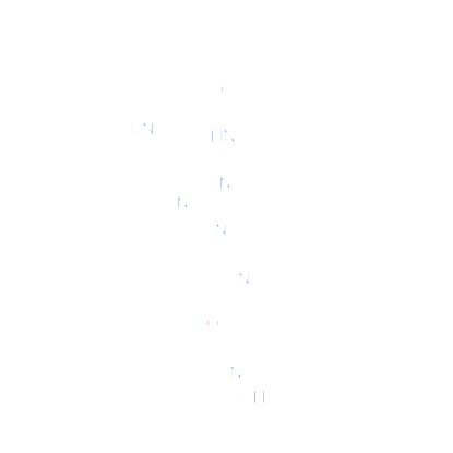 CN1CCOC(CN2CCN(c3nc4c(c(NCc5ccc(F)cc5Cl)n3)CNCC4)CC2)C1